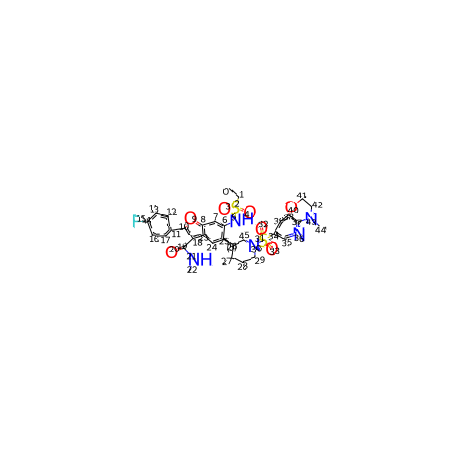 CCS(=O)(=O)Nc1cc2oc(-c3ccc(F)cc3)c(C(=O)NC)c2cc1[C@@H]1CCCN(S(=O)(=O)c2cnc3c(c2)OCCN3C)C1